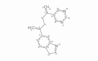 C=C(CCC(=C)c1ccc2c(c1)N=CC2)c1cncnc1